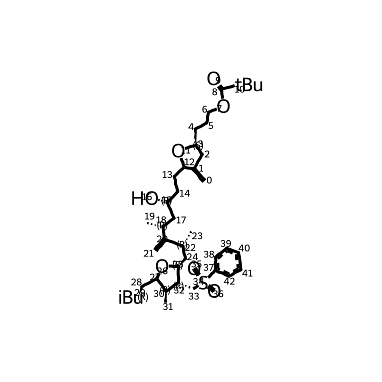 C=C1C[C@H](CCCOC(=O)C(C)(C)C)OC1CC[C@@H](O)C[C@@H](C)C(=C)[C@H](C)C[C@@H]1OC(C[C@H](C)CC)[C@H](C)[C@H]1CS(=O)(=O)c1ccccc1